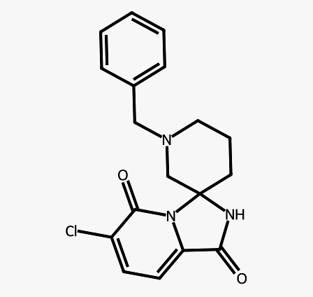 O=C1NC2(CCCN(Cc3ccccc3)C2)n2c1ccc(Cl)c2=O